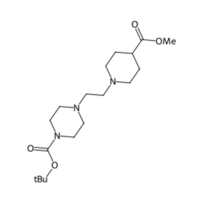 COC(=O)C1CCN(CCN2CCN(C(=O)OC(C)(C)C)CC2)CC1